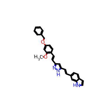 COc1cc(OCc2ccccc2)ccc1C=Cc1cc(C=Cc2ccc3cc[nH]c3c2)[nH]n1